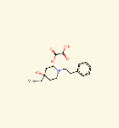 CNCC1(O)CCN(CCc2ccccc2)CC1.O=C(O)C(=O)O